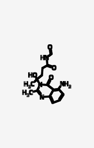 Cc1nc2cccc(N)c2c(=O)n1C(C)(O)CCC(=O)NC=O